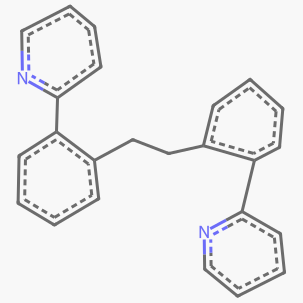 c1ccc(-c2ccccc2CCc2ccccc2-c2ccccn2)nc1